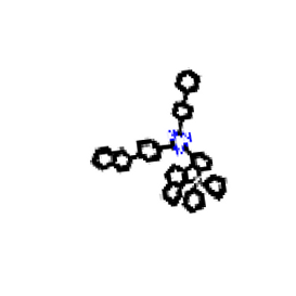 c1ccc(-c2ccc(-c3nc(-c4ccc(-c5ccc6ccccc6c5)cc4)nc(-c4cccc5c4-c4ccc6ccccc6c4[Si]5(c4ccccc4)c4ccccc4)n3)cc2)cc1